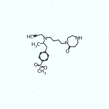 C#CCN(CCCCN1CCNCCC1=O)C(C)Cc1ccc(S(C)(=O)=O)cc1